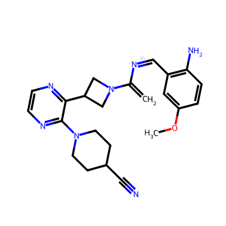 C=C(/N=C\c1cc(OC)ccc1N)N1CC(c2nccnc2N2CCC(C#N)CC2)C1